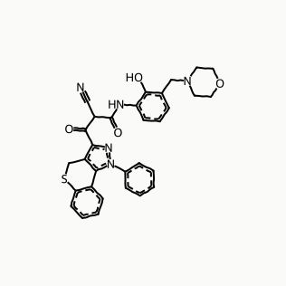 N#CC(C(=O)Nc1cccc(CN2CCOCC2)c1O)C(=O)c1nn(-c2ccccc2)c2c1CSc1ccccc1-2